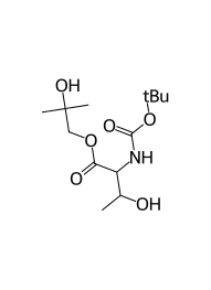 CC(O)C(NC(=O)OC(C)(C)C)C(=O)OCC(C)(C)O